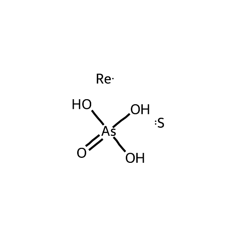 O=[As](O)(O)O.[Re].[S]